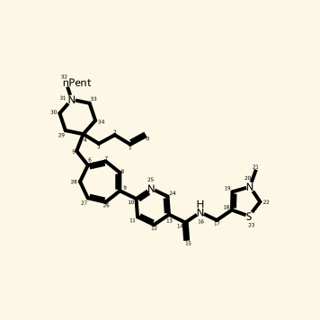 C=CCCC1(CC2=CC=C(c3ccc(C(=C)NCC4=CN(C)CS4)cn3)C=CC2)CCN(CCCCC)CC1